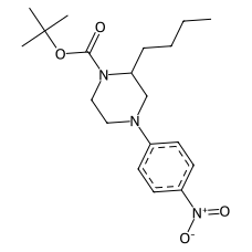 CCCCC1CN(c2ccc([N+](=O)[O-])cc2)CCN1C(=O)OC(C)(C)C